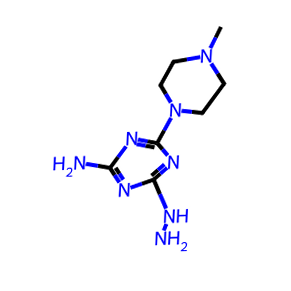 CN1CCN(c2nc(N)nc(NN)n2)CC1